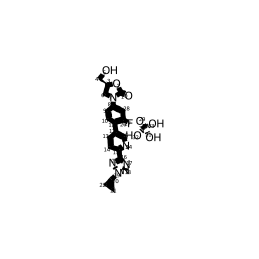 O=C1O[C@H](CO)CN1c1ccc(-c2ccc(-c3nnn(C4CC4)n3)nc2)c(F)c1.O=P(O)(O)O